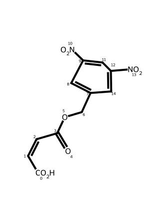 O=C(O)/C=C\C(=O)OCc1cc([N+](=O)[O-])cc([N+](=O)[O-])c1